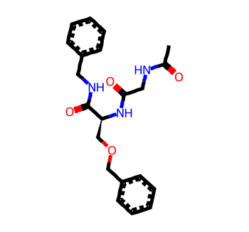 CC(=O)NCC(=O)N[C@@H](COCc1ccccc1)C(=O)NCc1ccccc1